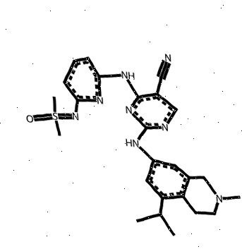 CC(C)c1cc(Nc2ncc(C#N)c(Nc3cccc(N=S(C)(C)=O)n3)n2)cc2c1CCN(C)C2